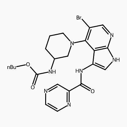 CCCCOC(=O)NC1CCCN(c2c(Br)cnc3[nH]cc(NC(=O)c4cnccn4)c23)C1